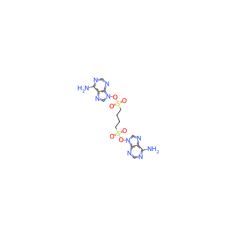 Nc1ncnc2c1ncn2OS(=O)(=O)CCCCS(=O)(=O)On1cnc2c(N)ncnc21